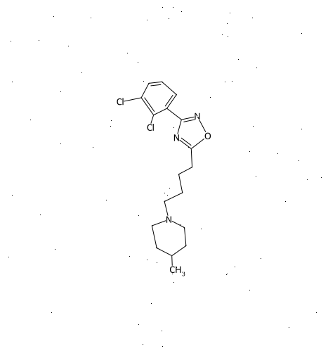 CC1CCN(CCCCc2nc(-c3cccc(Cl)c3Cl)no2)CC1